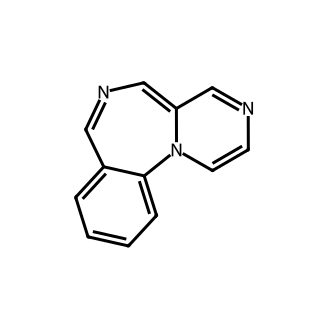 C1=CN2C(=CN=Cc3ccccc32)C=N1